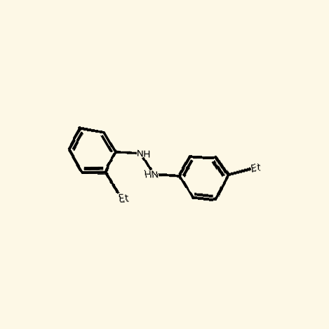 CCc1ccc(NNc2ccccc2CC)cc1